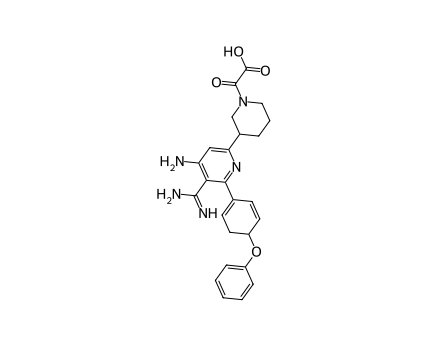 N=C(N)c1c(N)cc(C2CCCN(C(=O)C(=O)O)C2)nc1C1=CCC(Oc2ccccc2)C=C1